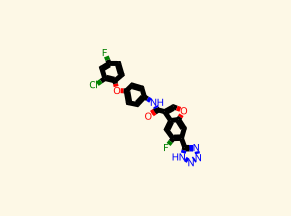 O=C(Nc1ccc(Oc2ccc(F)cc2Cl)cc1)c1coc2cc(-c3nnn[nH]3)c(F)cc12